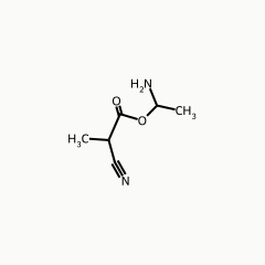 CC(N)OC(=O)C(C)C#N